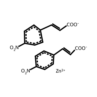 O=C([O-])C=Cc1ccc([N+](=O)[O-])cc1.O=C([O-])C=Cc1ccc([N+](=O)[O-])cc1.[Zn+2]